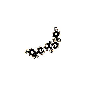 Cc1nc2n(c(=O)c1CCN1CCC(c3noc4cc(F)ccc34)CC1)CCCC2OC(=O)c1ccc(F)cc1